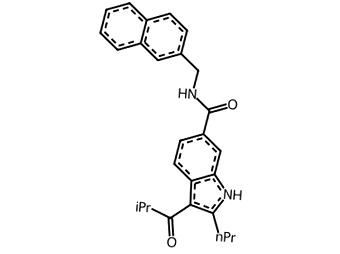 CCCc1[nH]c2cc(C(=O)NCc3ccc4ccccc4c3)ccc2c1C(=O)C(C)C